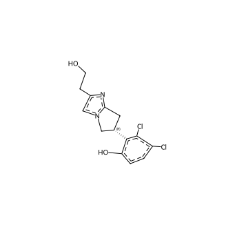 OCCc1cn2c(n1)C[C@H](c1c(O)ccc(Cl)c1Cl)C2